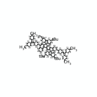 Cc1ccc(N(c2ccc(C)cc2)c2ccc(-c3ccc4c(c3)C(c3ccc(C(C)(C)C)cc3)(c3ccc(C(C)(C)C)cc3)c3cc5c(cc3-4)C(c3ccc(C(C)C)cc3)(c3ccc(C(C)(C)C)cc3)c3cc(-c4ccc(N(c6ccc(C)cc6)c6ccc(C)cc6)cc4)c4ccccc4c3-5)cc2)cc1